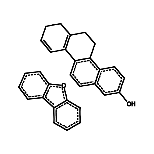 Oc1ccc2c3c(ccc2c1)C1=C(CCC=C1)CC3.c1ccc2c(c1)oc1ccccc12